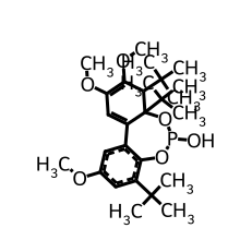 COC1=C(OC)C(C(C)(C)C)C2(C(C)(C)C)OP(O)Oc3c(cc(OC)cc3C(C)(C)C)C2=C1